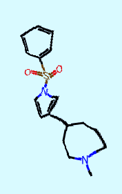 CN1CCCC(c2ccn(S(=O)(=O)c3ccccc3)c2)CC1